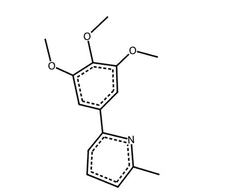 COc1cc(-c2cccc(C)n2)cc(OC)c1OC